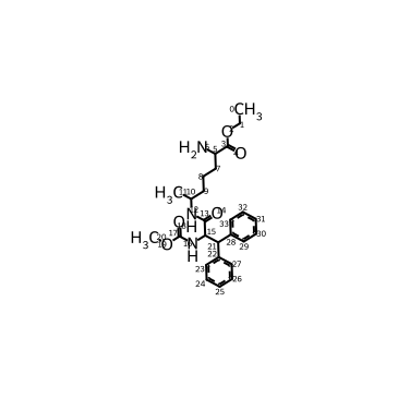 CCOC(=O)C(N)CCCC(C)NC(=O)C(NC(=O)OC)C(c1ccccc1)c1ccccc1